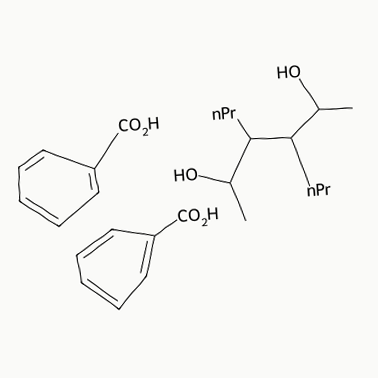 CCCC(C(C)O)C(CCC)C(C)O.O=C(O)c1ccccc1.O=C(O)c1ccccc1